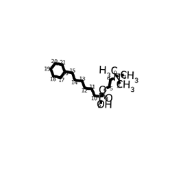 C[N+](C)(C)CCOP(=O)(O)CCCCCCC1CCCCC1